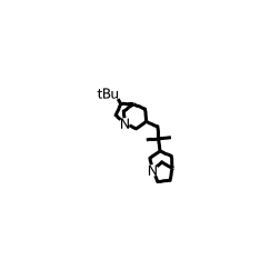 CC(C)(C)C1CN2CC(CC(C)(C)C3CC4CCN(C4)C3)CC1C2